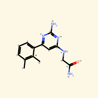 Cc1cccc(-c2cc(NCC(N)=O)nc(N)n2)c1C